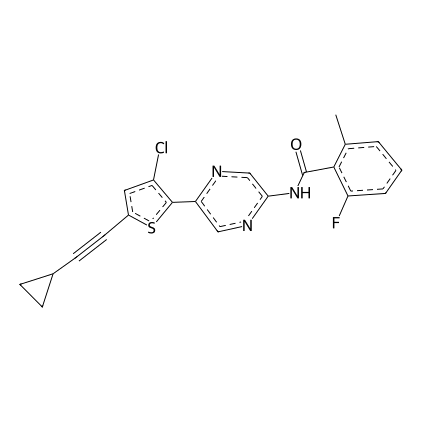 Cc1cccc(F)c1C(=O)Nc1cnc(-c2sc(C#CC3CC3)cc2Cl)cn1